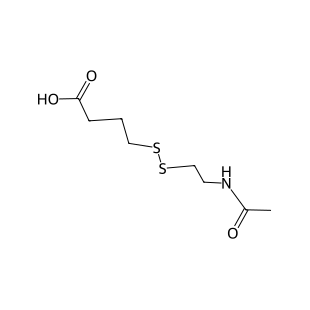 CC(=O)NCCSSCCCC(=O)O